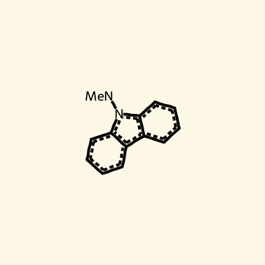 CNn1c2ccccc2c2ccccc21